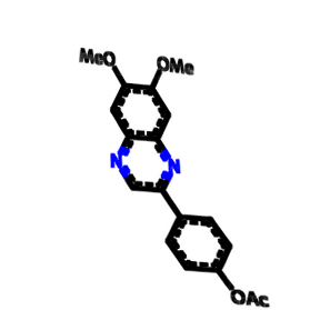 COc1cc2ncc(-c3ccc(OC(C)=O)cc3)nc2cc1OC